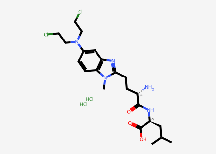 CC(C)C[C@H](NC(=O)[C@@H](N)CCc1nc2cc(N(CCCl)CCCl)ccc2n1C)C(=O)O.Cl.Cl